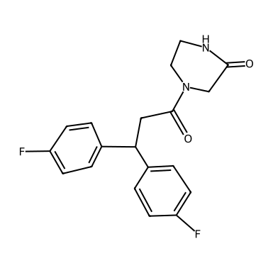 O=C1CN(C(=O)CC(c2ccc(F)cc2)c2ccc(F)cc2)CCN1